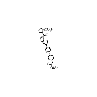 COC(=O)C[C@H]1CC[C@H](c2ccc(-c3ccc4c(c3)CCN4C(=O)C3CCCN3C(=O)O)cc2)CC1